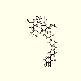 CCc1nc(C(N)=O)c(Nc2ccc(N3CCC(N4CCN(Cc5ccc(N6CCC(=O)NC6=O)cn5)CC4)CC3)c(OC)c2)nc1NC1CCOCC1